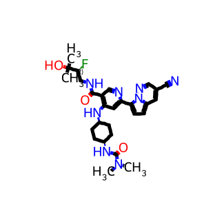 CN(C)C(=O)N[C@H]1CC[C@H](Nc2cc(-c3ccc4cc(C#N)cnn34)ncc2C(=O)NC[C@@H](F)C(C)(C)O)CC1